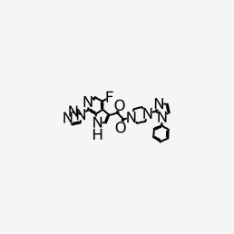 O=C(C(=O)N1CCN(c2nccn2-c2ccccc2)CC1)c1c[nH]c2c(-n3ccnn3)ncc(F)c12